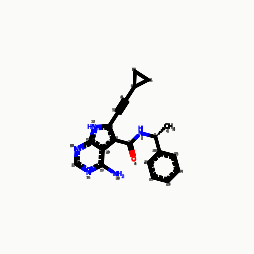 C[C@@H](NC(=O)c1c(C#CC2CC2)[nH]c2ncnc(N)c12)c1ccccc1